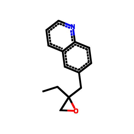 CCC1(Cc2ccc3ncccc3c2)CO1